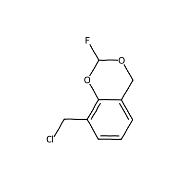 FC1OCc2cccc(CCl)c2O1